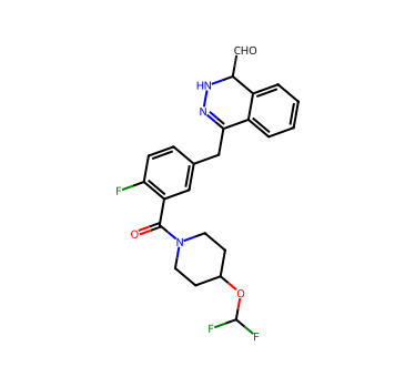 O=CC1NN=C(Cc2ccc(F)c(C(=O)N3CCC(OC(F)F)CC3)c2)c2ccccc21